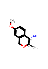 COc1ccc2c(c1)CO[C@H](C)[C@H]2N